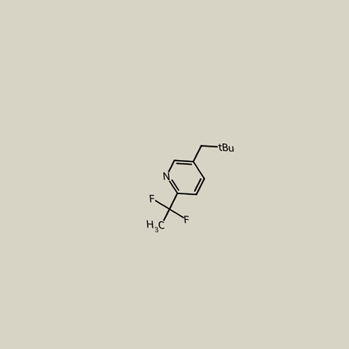 CC(C)(C)Cc1ccc(C(C)(F)F)nc1